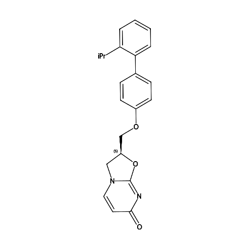 CC(C)c1ccccc1-c1ccc(OC[C@@H]2Cn3ccc(=O)nc3O2)cc1